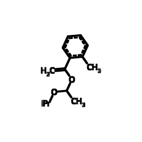 C=C(OC(C)OC(C)C)c1ccccc1C